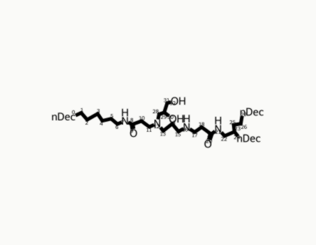 CCCCCCCCCCCCCCCCNC(=O)CCN(CCCNCCC(=O)NCC(CCCCCCCCCC)CCCCCCCCCCCC)CC(O)CO